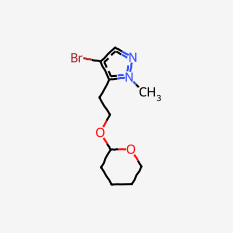 Cn1ncc(Br)c1CCOC1CCCCO1